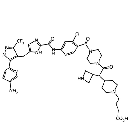 Nc1ccc(-c2[nH]nc(C(F)(F)F)c2Cc2cnc(C(=O)Nc3ccc(C(=O)N4CCN(C(=O)C(C5CCN(CCCC(=O)O)CC5)C5CNC5)CC4)c(Cl)c3)[nH]2)nc1